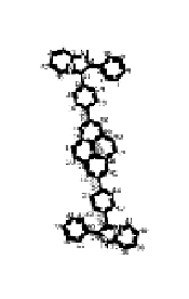 C1=CC2=NC(c3ccccc3)C(c3ccc(-c4cc5ccc6cc(-c7ccc(-c8c(-c9ccccc9)nc9ccccn89)cc7)cc7ccc(c4)c5c67)cc3)N2C=C1